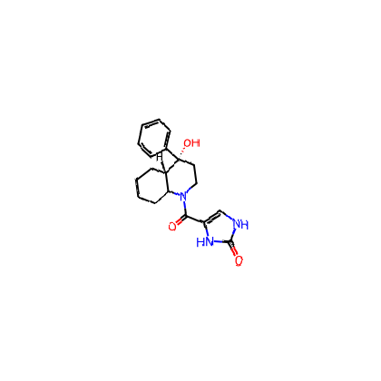 O=C(c1c[nH]c(=O)[nH]1)N1CC[C@](O)(c2ccccc2)[C@H]2CCCCC21